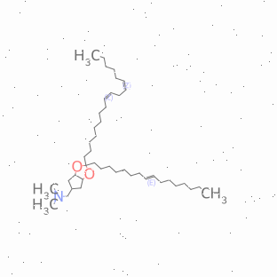 CCCCC/C=C\C/C=C\CCCCCCCCC1(CCCCCCC/C=C/CCCCCCC)OC2CC(CN(C)C)CC2O1